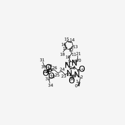 C#CCn1c(=O)c2c(nc(CCc3ccccc3C)n2CC)n(CCCCP(=O)(OCC)OCC)c1=O